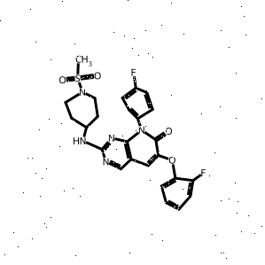 CS(=O)(=O)N1CCC(Nc2ncc3cc(Oc4ccccc4F)c(=O)n(-c4ccc(F)cc4)c3n2)CC1